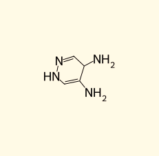 NC1=CNN=CC1N